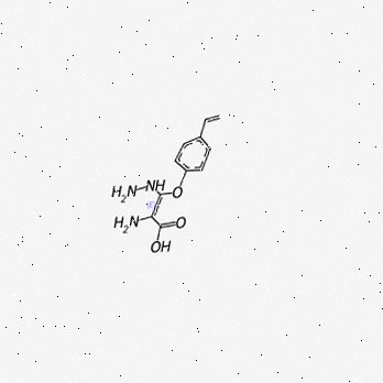 C=Cc1ccc(O/C(NN)=C(/N)C(=O)O)cc1